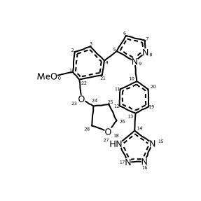 COc1ccc(-c2ccnn2-c2ccc(-c3nnn[nH]3)cc2)cc1OC1CCOC1